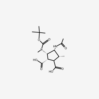 CC(=O)N[C@H]1[C@@H](N(C)C(=O)OC(C)(C)C)[C@@H](C(=O)O)C(C(=O)O)[C@H]1C